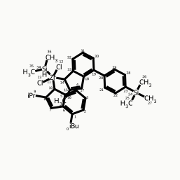 CCC(C)c1cccc2c1C=C(C(C)C)[CH]2[Zr]([Cl])([Cl])([CH]1C(C)=Cc2c(-c3ccc([Si](C)(C)C)cc3)cccc21)[SiH](C)C